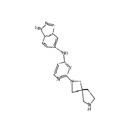 c1cc(Nc2ccc3[nH]ncc3c2)nc(N2CC3(CCNC3)C2)n1